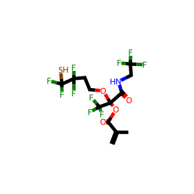 C=C(C)C(=O)OC(OCCC(F)(F)C(F)(F)S)(C(=O)NCC(F)(F)F)C(F)(F)F